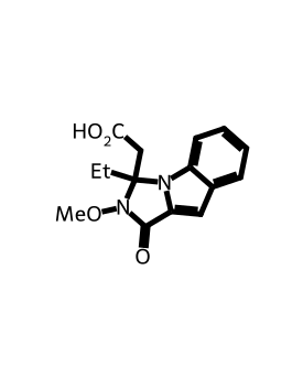 CCC1(CC(=O)O)N(OC)C(=O)c2cc3ccccc3n21